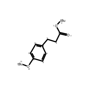 CC(C)(C)OC(=O)[CH]Cc1ccc(OC(C)(C)C)cc1